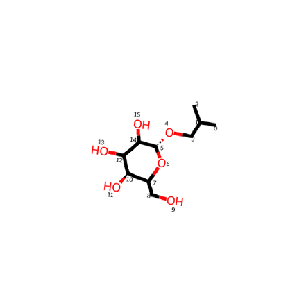 CC(C)CO[C@@H]1OC(CO)[C@@H](O)C(O)C1O